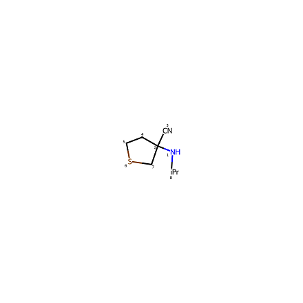 CC(C)NC1(C#N)CCSC1